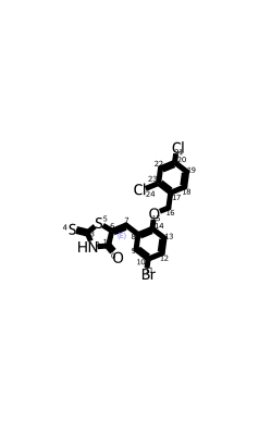 O=C1NC(=S)S/C1=C/c1cc(Br)ccc1OCc1ccc(Cl)cc1Cl